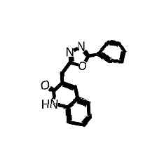 O=c1[nH]c2ccccc2cc1Cc1nnc(-c2ccccc2)o1